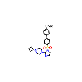 COc1ccc(-c2ccc(S(=O)(=O)N3CCN=C3N3CCN(C4CCC4)CC3)cc2)cc1